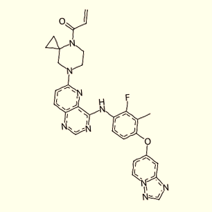 C=CC(=O)N1CCN(c2ccc3ncnc(Nc4ccc(Oc5ccn6ncnc6c5)c(C)c4F)c3n2)CC12CC2